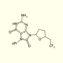 CCCn1c(=O)n(C2CCC(CC(F)(F)F)O2)c2nc(N)[nH]c(=O)c21